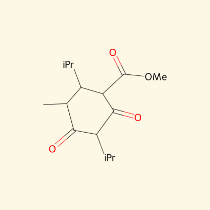 COC(=O)C1C(=O)C(C(C)C)C(=O)C(C)C1C(C)C